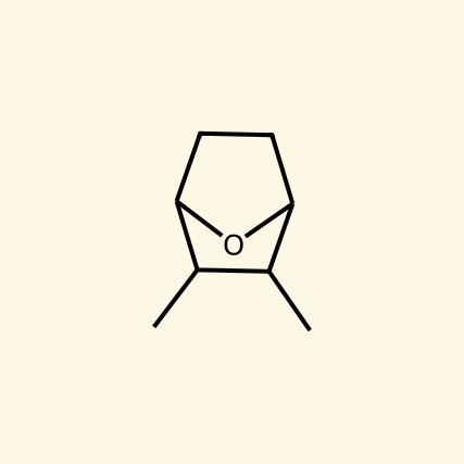 CC1C2CCC(O2)C1C